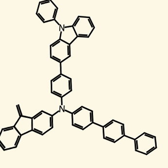 C=C1c2ccccc2-c2ccc(N(c3ccc(-c4ccc(-c5ccccc5)cc4)cc3)c3ccc(-c4ccc5c(c4)c4ccccc4n5-c4ccccc4)cc3)cc21